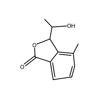 Cc1cccc2c1C(C(C)O)OC2=O